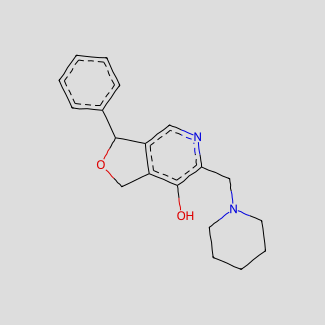 Oc1c(CN2CCCCC2)ncc2c1COC2c1ccccc1